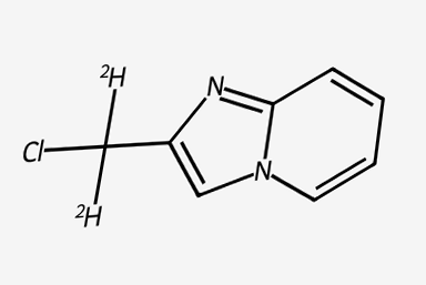 [2H]C([2H])(Cl)c1cn2ccccc2n1